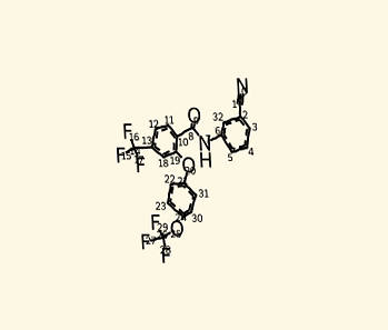 N#Cc1cccc(NC(=O)c2ccc(C(F)(F)F)cc2Oc2ccc(OC(F)(F)F)cc2)c1